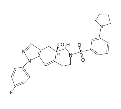 O=C(O)[C@]12Cc3cnn(-c4ccc(F)cc4)c3C=C1CCN(S(=O)(=O)c1cccc(N3CCCC3)c1)C2